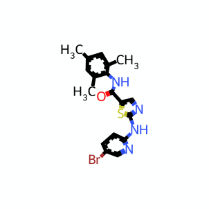 Cc1cc(C)c(NC(=O)c2cnc(Nc3ccc(Br)cn3)s2)c(C)c1